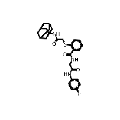 O=C(CNC(=O)c1ccccc1SCC(=O)NC12CC3CC(CC(C3)C1)C2)Nc1ccc(Cl)cc1